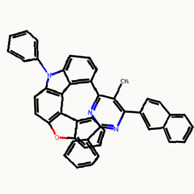 N#Cc1c(-c2ccc3ccccc3c2)nc(-c2ccccc2)nc1-c1cccc2c1c1c3c(ccc1n2-c1ccccc1)oc1ccccc13